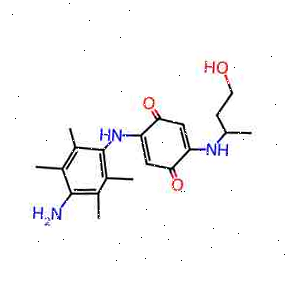 Cc1c(C)c(NC2=CC(=O)C(NC(C)CCO)=CC2=O)c(C)c(C)c1N